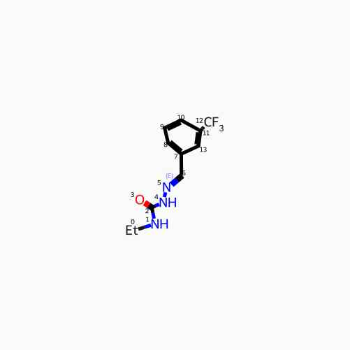 CCNC(=O)N/N=C/c1cccc(C(F)(F)F)c1